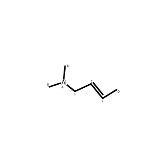 CC=C[CH2][Al]([CH3])[CH3]